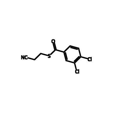 N#CCCSC(=O)c1ccc(Cl)c(Cl)c1